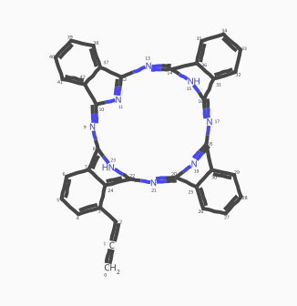 C=C=Cc1cccc2c3nc4nc(nc5[nH]c(nc6nc(nc([nH]3)c12)-c1ccccc1-6)c1ccccc51)-c1ccccc1-4